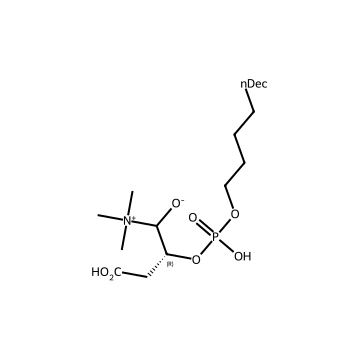 CCCCCCCCCCCCCCOP(=O)(O)O[C@H](CC(=O)O)C([O-])[N+](C)(C)C